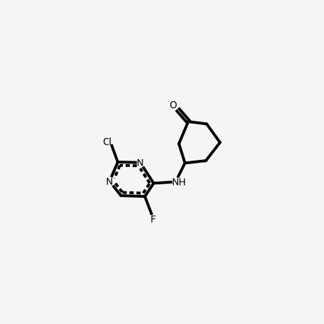 O=C1CCCC(Nc2nc(Cl)ncc2F)C1